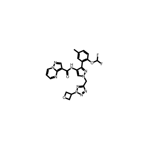 Cc1ccc(OC(F)F)c(-c2nn(Cc3nnn(C4COC4)n3)cc2NC(=O)c2cnn3cccnc23)c1